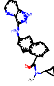 CN(C(=O)c1cccc2cc(Nc3n[nH]c4cccnc34)ccc12)C1CC1